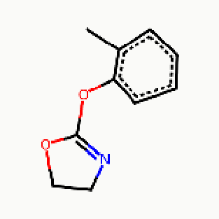 Cc1ccccc1OC1=NCCO1